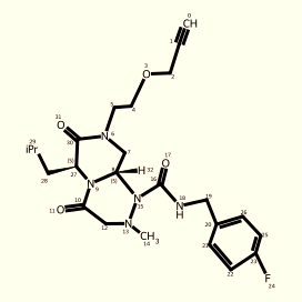 C#CCOCCN1C[C@H]2N(C(=O)CN(C)N2C(=O)NCc2ccc(F)cc2)[C@@H](CC(C)C)C1=O